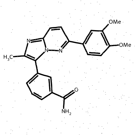 COc1ccc(-c2ccc3nc(C)c(-c4cccc(C(N)=O)c4)n3n2)cc1OC